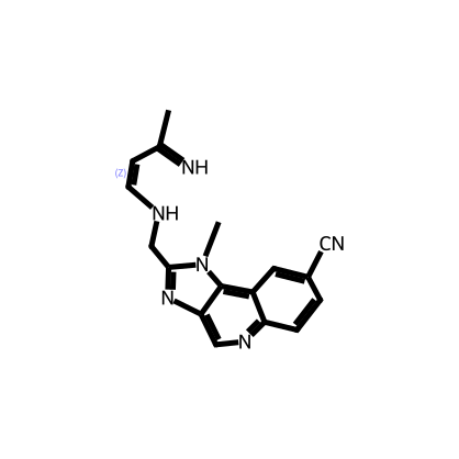 CC(=N)/C=C\NCc1nc2cnc3ccc(C#N)cc3c2n1C